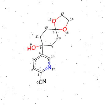 N#Cc1ccc(C2(O)CCC3(CC2)OCCO3)cn1